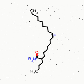 CCCCCCCC/C=C\CCCCCCC(CCCC)C(N)=O